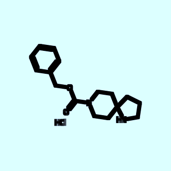 Cl.O=C(OCc1ccccc1)N1CCC2(CCCN2)CC1